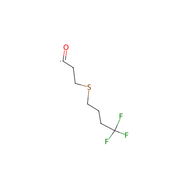 O=[C]CCSCCCC(F)(F)F